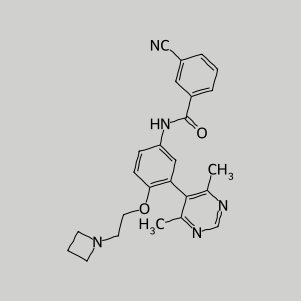 Cc1ncnc(C)c1-c1cc(NC(=O)c2cccc(C#N)c2)ccc1OCCN1CCC1